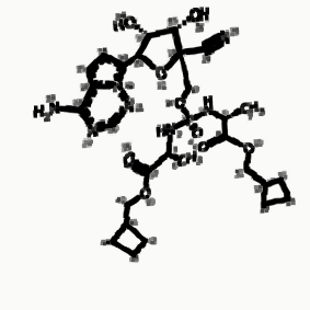 C[C@H](NP(=O)(N[C@@H](C)C(=O)OCC1CCC1)OC[C@@]1(C#N)O[C@@H](c2ccc3c(N)ncnn23)[C@H](O)[C@@H]1O)C(=O)OCC1CCC1